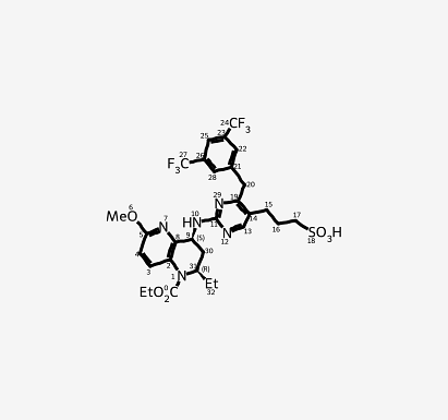 CCOC(=O)N1c2ccc(OC)nc2[C@@H](Nc2ncc(CCCS(=O)(=O)O)c(Cc3cc(C(F)(F)F)cc(C(F)(F)F)c3)n2)C[C@H]1CC